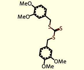 COc1ccc(CSC(=S)SCc2ccc(OC)c(OC)c2)cc1OC